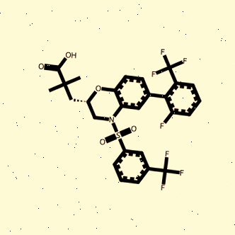 CC(C)(C[C@H]1CN(S(=O)(=O)c2cccc(C(F)(F)F)c2)c2cc(-c3c(F)cccc3C(F)(F)F)ccc2O1)C(=O)O